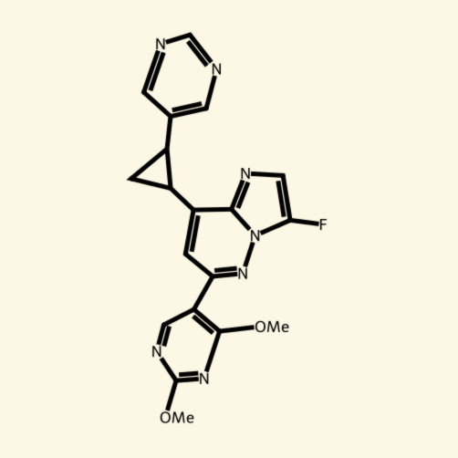 COc1ncc(-c2cc(C3CC3c3cncnc3)c3ncc(F)n3n2)c(OC)n1